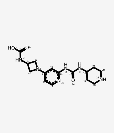 O=C(O)NC1CN(c2ccnc(NC(=O)NC3CCNCC3)c2)C1